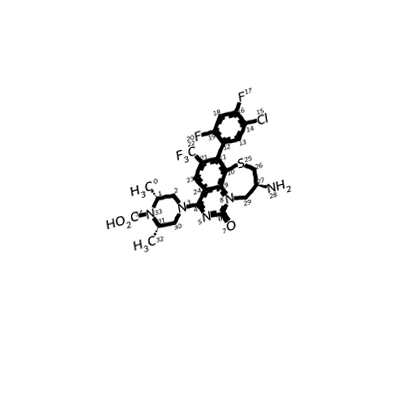 C[C@@H]1CN(c2nc(=O)n3c4c(c(-c5cc(Cl)c(F)cc5F)c(C(F)(F)F)cc24)SC[C@@H](N)C3)C[C@H](C)N1C(=O)O